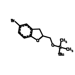 CC(C)(C)[Si](C)(C)OCC1Cc2cc(Br)ccc2O1